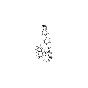 CN(C(=O)c1ccc(-c2ccc([N+](=O)[O-])cc2)cc1)C(C)(c1cccc2ccccc12)C1CCCCNC1